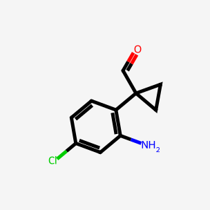 Nc1cc(Cl)ccc1C1(C=O)CC1